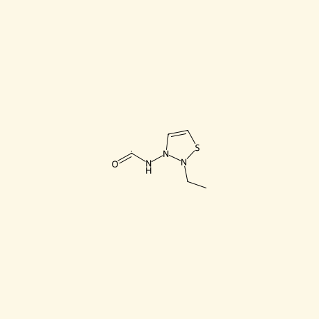 CCN1SC=CN1N[C]=O